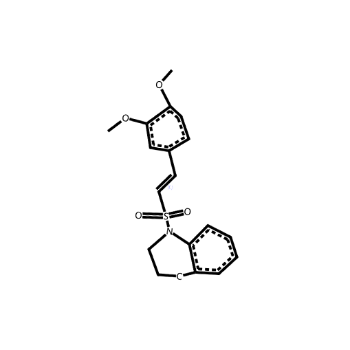 COc1ccc(/C=C/S(=O)(=O)N2CCCc3ccccc32)cc1OC